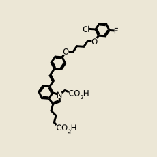 O=C(O)CCCc1cn(CC(=O)O)c2c(C=Cc3ccc(OCCCCOc4cc(F)ccc4Cl)cc3)cccc12